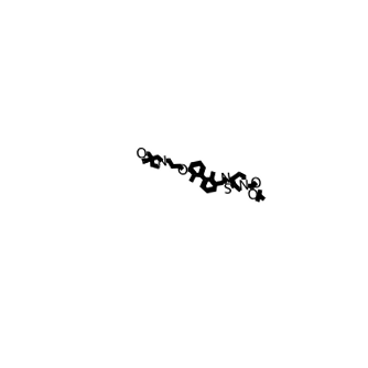 Cc1c(OCCCN2CCC3(COC3)C2)cccc1-c1cccc(-c2nc3c(s2)CN(C(=O)OC(C)(C)C)CC3)c1C